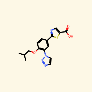 CC(C)COc1ccc(-c2ncc(C(=O)O)s2)cc1-n1ccnn1